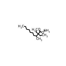 CCCCCCCC(C)C(CC)(CC)C(=O)O[SiH3]